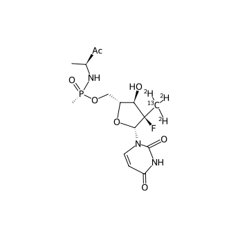 [2H][13C]([2H])([2H])[C@@]1(F)[C@H](O)[C@@H](CO[P@@](C)(=O)N[C@@H](C)C(C)=O)O[C@H]1n1ccc(=O)[nH]c1=O